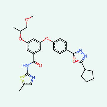 COCC(C)Oc1cc(Oc2ccc(-c3nnc(C4CCCC4)o3)cc2)cc(C(=O)Nc2ncc(C)s2)c1